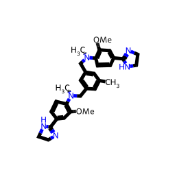 COc1cc(C2=NCCN2)ccc1N(C)Cc1cc(C)cc(CN(C)c2ccc(C3=NCCN3)cc2OC)c1